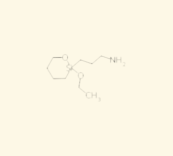 CCO[Si]1(CCCN)CCCCO1